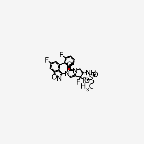 CCS(=O)(=O)N[C@@H]1Cn2c(cn(-c3noc4cc(F)cc(-c5c(F)cccc5F)c34)c2=O)C1(F)F